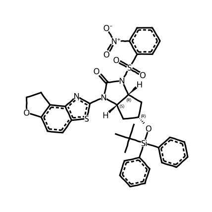 CC(C)(C)[Si](O[C@H]1C[C@@H]2[C@H](C1)N(c1nc3c4c(ccc3s1)OCC4)C(=O)N2S(=O)(=O)c1ccccc1[N+](=O)[O-])(c1ccccc1)c1ccccc1